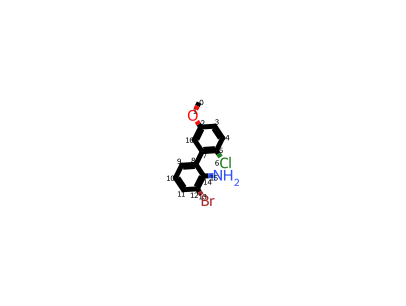 COc1ccc(Cl)c(-c2cccc(Br)c2N)c1